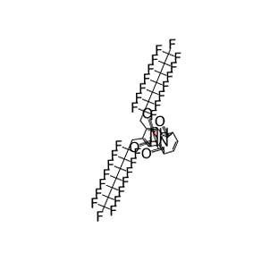 O=c1[nH]c(=O)c2ccc1c1c3c(CC(F)(F)C(F)(F)C(F)(F)C(F)(F)C(F)(F)C(F)(F)C(F)(F)F)c(CC(F)(F)C(F)(F)C(F)(F)C(F)(F)C(F)(F)C(F)(F)C(F)(F)F)c(c(=O)[nH]c3=O)c21